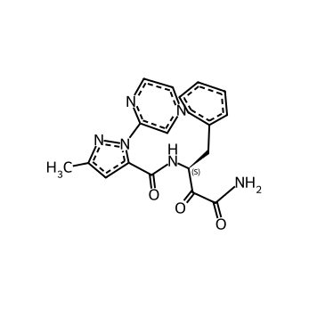 Cc1cc(C(=O)N[C@@H](Cc2ccccc2)C(=O)C(N)=O)n(-c2cnccn2)n1